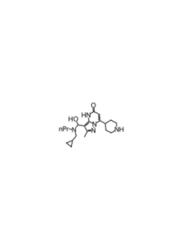 CCCN(CC1CC1)C(O)c1c(C)nn2c(C3CCNCC3)cc(=O)[nH]c12